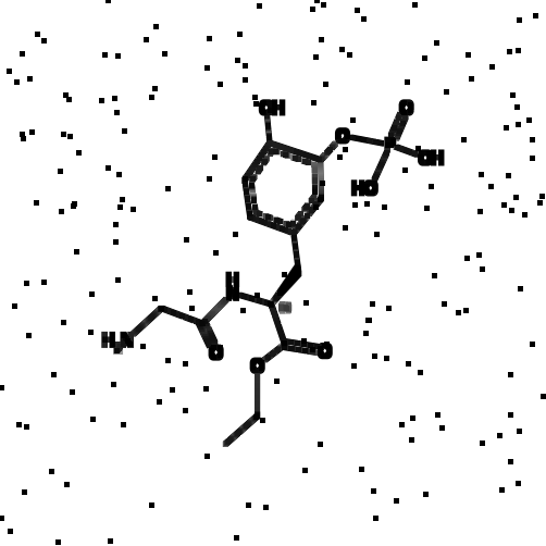 CCOC(=O)[C@H](Cc1ccc(O)c(OP(=O)(O)O)c1)NC(=O)CN